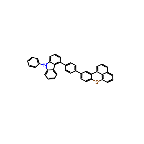 c1ccc(-n2c3ccccc3c3c(-c4ccc(-c5ccc6c(c5)-c5cccc7cccc(c57)S6)cc4)cccc32)cc1